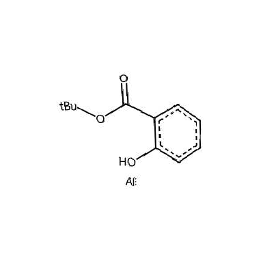 CC(C)(C)OC(=O)c1ccccc1O.[Al]